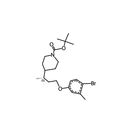 Cc1cc(OCC[C@H](C)C2CCN(C(=O)OC(C)(C)C)CC2)ccc1Br